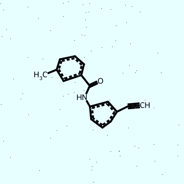 C#Cc1cccc(NC(=O)c2cccc(C)c2)c1